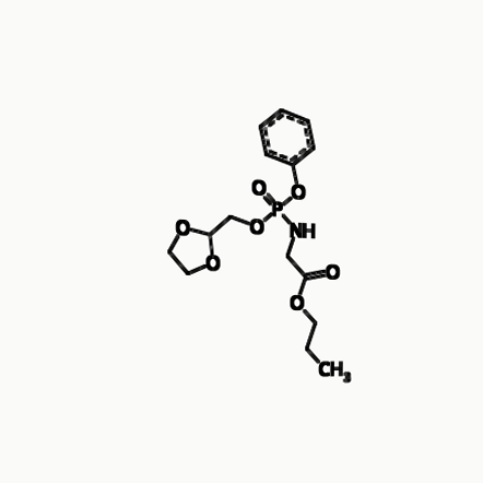 CCCOC(=O)CNP(=O)(OCC1OCCO1)Oc1ccccc1